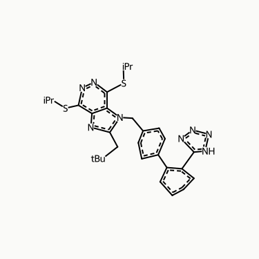 CC(C)Sc1nnc(SC(C)C)c2c1nc(CC(C)(C)C)n2Cc1ccc(-c2ccccc2-c2nnn[nH]2)cc1